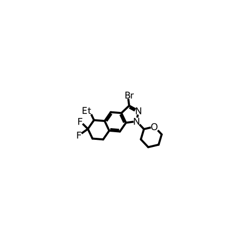 CCC1c2cc3c(Br)nn(C4CCCCO4)c3cc2CCC1(F)F